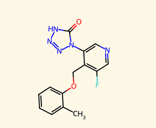 Cc1ccccc1OCc1c(F)cncc1-n1nn[nH]c1=O